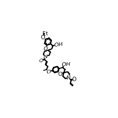 C=CC(=O)N1CCC2(CC1)CC(O)c1ccc(OC(C)CC=CC(=O)N3CCC4(CC3)CC(O)c3ccc(OCC)cc3O4)cc1O2